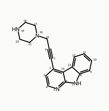 C(#Cc1ccnc2[nH]c3ccccc3c12)CN1CCNCC1